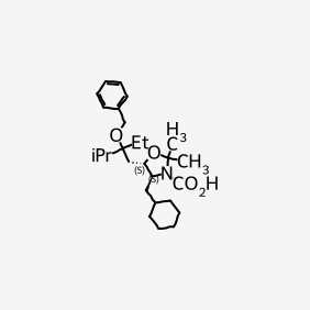 CCC(C[C@@H]1OC(C)(C)N(C(=O)O)[C@H]1CC1CCCCC1)(OCc1ccccc1)C(C)C